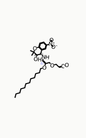 CCCCCCCCCCCCO/C(=C/N[C@H]1c2cc([N+](=O)[O-])ccc2OC(C)(C)[C@@H]1O)COCC=C=O